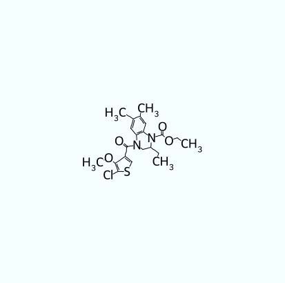 CCOC(=O)N1c2cc(C)c(C)cc2N(C(=O)c2csc(Cl)c2OC)CC1CC